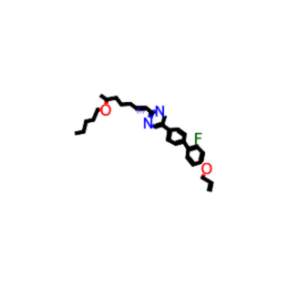 C=CCOc1ccc(-c2ccc(-c3cnc(/C=C/CCCC(C)OCCCCC)nc3)cc2)c(F)c1